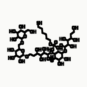 O=P(O)(OCCCCCCS)O[C@H]1C(O[C@@H](O)[C@H](O)C(O)[C@H](O)CCO[C@H]2OC(CO[C@H]3OC(CO)[C@@H](O)[C@H](O)C3O)[C@@H](O)C(O)[C@H]2O)C(O)[C@H](O)[C@@H](O)C1O[C@@H](O)[C@H](O)C(O)[C@H](O)CCO